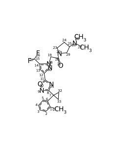 Cc1ccccc1C1(c2noc(-c3cc(C(F)F)n(CC(=O)N4CCC(N(C)C)C4)n3)n2)CC1